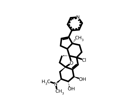 CN(C)[C@H]1C[C@@]23CC[C@]4(O2)C2CC=C(c5ccncc5)[C@@]2(C)CCC4(Cl)C=C3[C@@H](O)[C@@H]1O